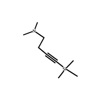 CN(C)CCC#C[Si](C)(C)C